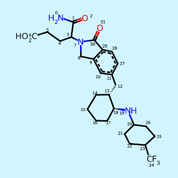 NC(=O)C(CCC(=O)O)N1Cc2cc(C[C@H]3CCCC[C@@H]3NC3CCC(C(F)(F)F)CC3)ccc2C1=O